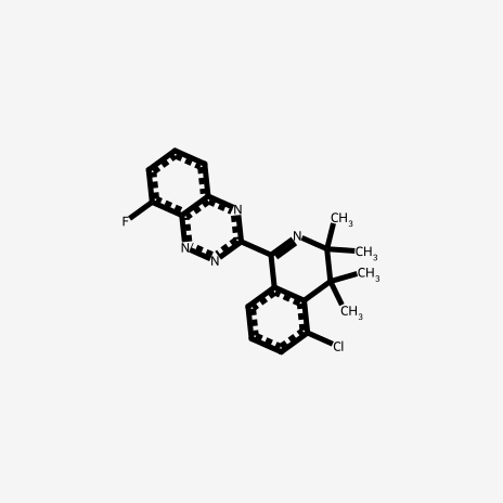 CC1(C)N=C(c2nnc3c(F)cccc3n2)c2cccc(Cl)c2C1(C)C